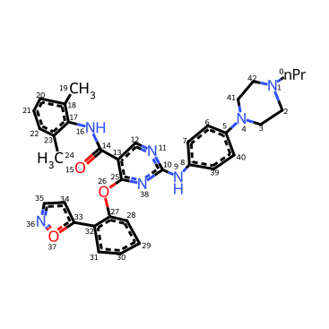 CCCN1CCN(c2ccc(Nc3ncc(C(=O)Nc4c(C)cccc4C)c(Oc4ccccc4-c4ccno4)n3)cc2)CC1